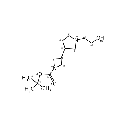 CC(C)(C)OC(=O)N1CC(C2CCN(CCO)C2)C1